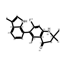 Cc1c[nH]c2c(-c3c(F)cc4c(c3F)C(=O)CC(C)(C)N4)cccc12